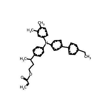 C=CC(=O)OCCC(C)c1ccc(N(c2ccc(-c3ccc(CC)cc3)cc2)c2ccc(C)c(C)c2)cc1